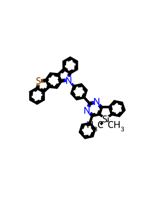 C[Si]1(C)c2ccccc2-c2nc(-c3ccc(-n4c5ccccc5c5cc6sc7ccccc7c6cc54)cc3)nc(-c3ccccc3)c21